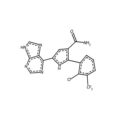 NC(=O)c1cc(-c2ncnc3[nH]cnc23)[nH]c1-c1cccc(C(F)(F)F)c1Cl